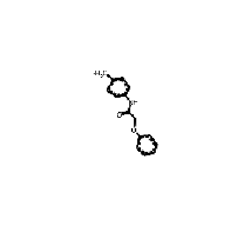 [CH2]c1ccc(NC(=O)COc2ccccc2)cc1